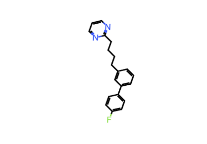 Fc1ccc(-c2cccc(CCCCc3ncccn3)c2)cc1